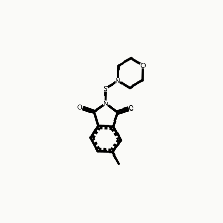 Cc1ccc2c(c1)C(=O)N(SN1CCOCC1)C2=O